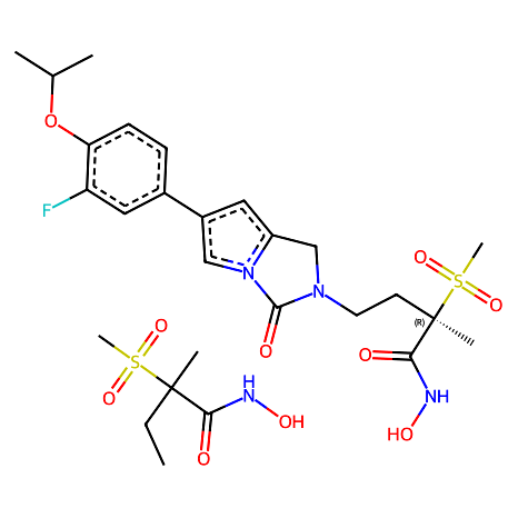 CC(C)Oc1ccc(-c2cc3n(c2)C(=O)N(CC[C@](C)(C(=O)NO)S(C)(=O)=O)C3)cc1F.CCC(C)(C(=O)NO)S(C)(=O)=O